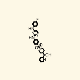 O=S(=O)(c1ccc(Nc2nccc(Nc3ccc(F)cc3)n2)cc1)N1CCC(C(O)c2ccccn2)CC1